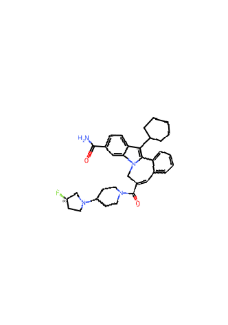 NC(=O)c1ccc2c(C3CCCCC3)c3n(c2c1)CC(C(=O)N1CCC(N2CC[C@@H](F)C2)CC1)=Cc1ccccc1-3